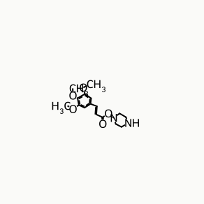 COc1cc(/C=C/C(=O)ON2CCNCC2)cc(OC)c1OC